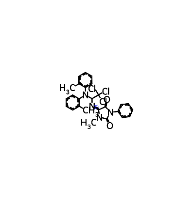 Cc1ccccc1N(c1ccccc1C)C(/N=C1\C(=O)N(c2ccccc2)C(=O)N1C)C(Cl)(Cl)Cl